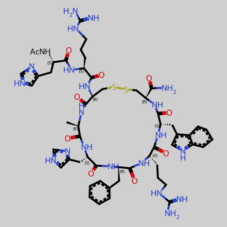 CC(=O)N[C@@H](Cc1c[nH]cn1)C(=O)N[C@@H](CCCNC(=N)N)C(=O)N[C@H]1CSSC[C@@H](C(N)=O)NC(=O)[C@H](Cc2c[nH]c3ccccc23)NC(=O)[C@H](CCCNC(=N)N)NC(=O)[C@@H](Cc2ccccc2)NC(=O)[C@H](Cc2c[nH]cn2)NC(=O)[C@@H](C)NC1=O